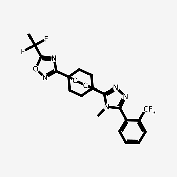 Cn1c(-c2ccccc2C(F)(F)F)nnc1C12CCC(c3noc(C(C)(F)F)n3)(CC1)CC2